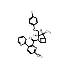 Cc1ccc(-c2ncccn2)c(C(=O)N2C3CC(C3)[C@@H](C)[C@@H]2COc2ccc(F)cc2)n1